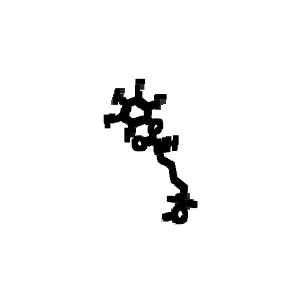 CO[Si](C)(C)CCCCNC(=O)Oc1c(F)c(F)c(F)c(F)c1F